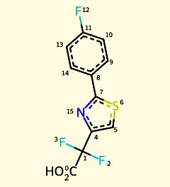 O=C(O)C(F)(F)c1csc(-c2ccc(F)cc2)n1